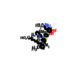 CC1=C(/C=C/C(C)=C/C=C/C(C)=C/C(=O)O)C(C)(C)CCC1.CSc1ccc2c(c1)N(CCC1CCCCN1C)c1ccccc1S2.N[C@@H](Cc1ccc(O)c(O)c1)C(=O)O